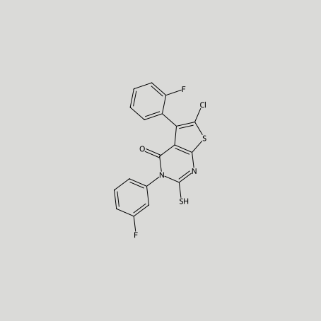 O=c1c2c(-c3ccccc3F)c(Cl)sc2nc(S)n1-c1cccc(F)c1